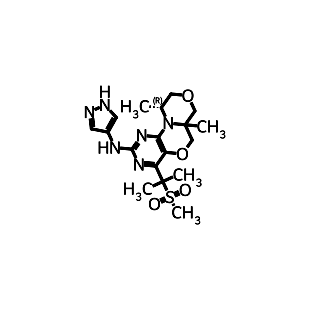 C[C@@H]1COCC2(C)COc3c(nc(Nc4cn[nH]c4)nc3C(C)(C)S(C)(=O)=O)N12